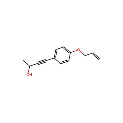 C=CCOc1[c]cc(C#CC(C)O)cc1